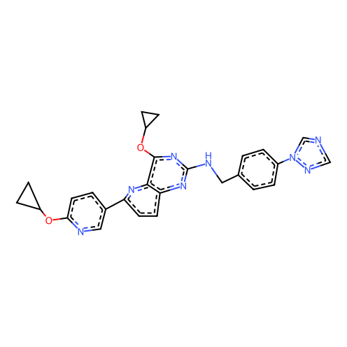 c1ncn(-c2ccc(CNc3nc(OC4CC4)c4nc(-c5ccc(OC6CC6)nc5)ccc4n3)cc2)n1